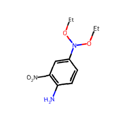 CCON(OCC)c1ccc(N)c([N+](=O)[O-])c1